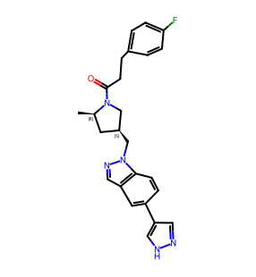 C[C@@H]1C[C@H](Cn2ncc3cc(-c4cn[nH]c4)ccc32)CN1C(=O)CCc1ccc(F)cc1